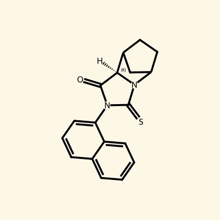 O=C1[C@H]2C3CCC(C3)N2C(=S)N1c1cccc2ccccc12